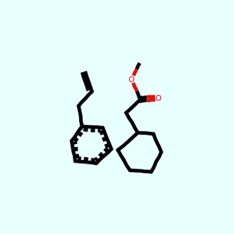 C=CCc1ccccc1.COC(=O)CC1CCCCC1